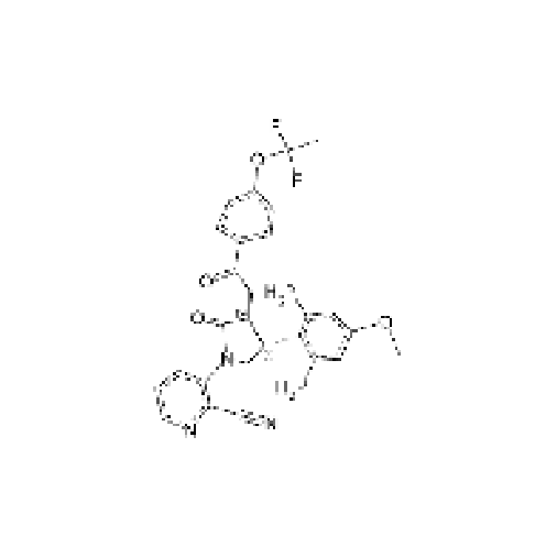 COc1cc(P)c([C@@H]2CN(c3cccnc3C#N)C(=O)[C@H]2CC(=O)c2ccc(OC(C)(F)F)cc2)c(P)c1